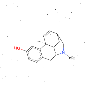 CCCN1CC2C=C[C@]3(C)c4cc(O)ccc4CC1C3C2